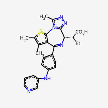 CCC(C(=O)O)[C@@H]1N=C(c2ccc(Nc3cccnc3)cc2)c2c(sc(C)c2C)-n2c(C)nnc21